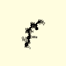 COc1cc(C(C)OC(=O)Oc2ccc([N+](=O)[O-])cc2)c([N+](=O)[O-])cc1OCCNC(=O)C(CS(=O)(=O)O)NC(=O)CCC1=[N+]2C(=Cc3c(CCC[N+](C)(C)C)cc(-c4cccs4)n3[B-]2(F)F)C(C)=C1